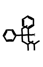 CCC(CC(C)C)(c1ccccc1)C(I)(CC(C)C)c1ccccc1